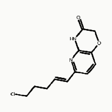 O=C1COc2ccc(C=CCCCCl)nc2N1